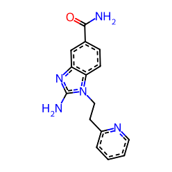 NC(=O)c1ccc2c(c1)nc(N)n2CCc1ccccn1